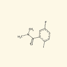 CN(C)C(=O)c1cc(F)ccc1I